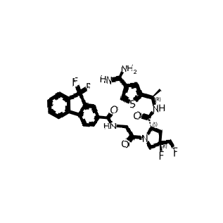 C[C@@H](NC(=O)[C@@H]1C[C@](F)(CF)CN1C(=O)CNC(=O)c1ccc2c(c1)C(F)(F)c1ccccc1-2)c1cc(C(=N)N)cs1